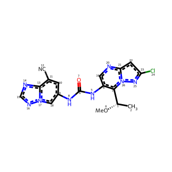 CO[C@@H](C)c1c(NC(=O)Nc2cc(C#N)c3ncnn3c2)cnc2cc(Cl)nn12